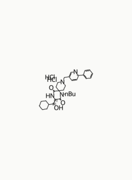 CCCCN1C(=O)[C@@H]([C@H](O)C2CCCCC2)NC(=O)C12CCN(Cc1ccc(-c3ccccc3)nc1)CC2.Cl.Cl